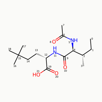 CC[C@H](C)[C@H](NC(C)=O)C(=O)N[C@@H](CCC(C)(C)C)C(=O)O